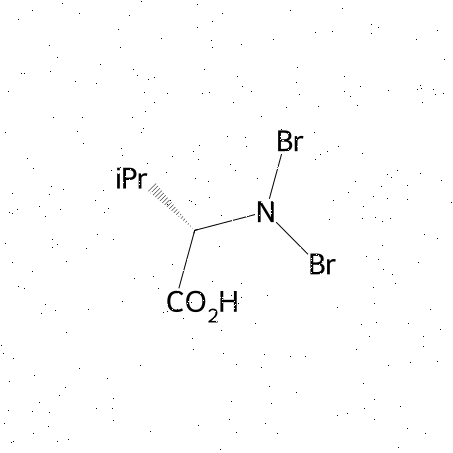 CC(C)[C@@H](C(=O)O)N(Br)Br